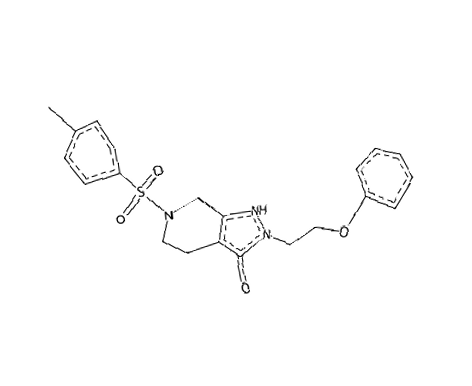 Cc1ccc(S(=O)(=O)N2CCc3c([nH]n(CCOc4ccccc4)c3=O)C2)cc1